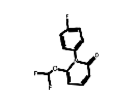 O=c1cccc(OC(F)F)n1-c1ccc(F)cc1